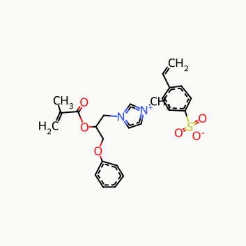 C=C(C)C(=O)OC(COc1ccccc1)Cn1cc[n+](C)c1.C=Cc1ccc(S(=O)(=O)[O-])cc1